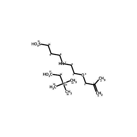 C=C(C)COCCNCCCS(=O)(=O)O.C[N+](C)(C)CC(=O)O